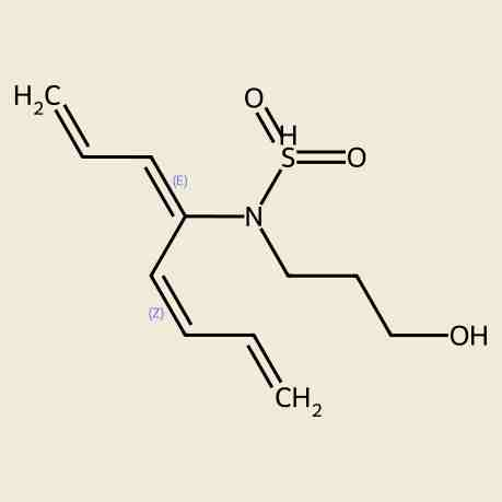 C=C/C=C\C(=C/C=C)N(CCCO)[SH](=O)=O